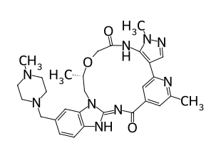 Cc1cc2cc(n1)-c1cnn(C)c1NC(=O)CO[C@@H](C)CN1/C(=N/C2=O)Nc2ccc(CN3CCN(C)CC3)cc21